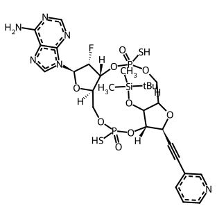 CC(C)(C)[Si](C)(C)OC1[C@H]2OP(=O)(S)OC[C@H]3O[C@@H](n4cnc5c(N)ncnc54)[C@H](F)[C@@H]3OP(=O)(S)OC[C@H]1O[C@H]2C#Cc1cccnc1